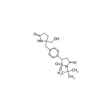 CC(C)(C)N1C(=O)CC(c2ccc(CC3(CO)CCC(=O)N3)cc2)S1(=O)=O